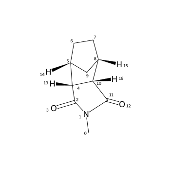 CN1C(=O)[C@@H]2[C@@H]3CC[C@@H](C3)[C@@H]2C1=O